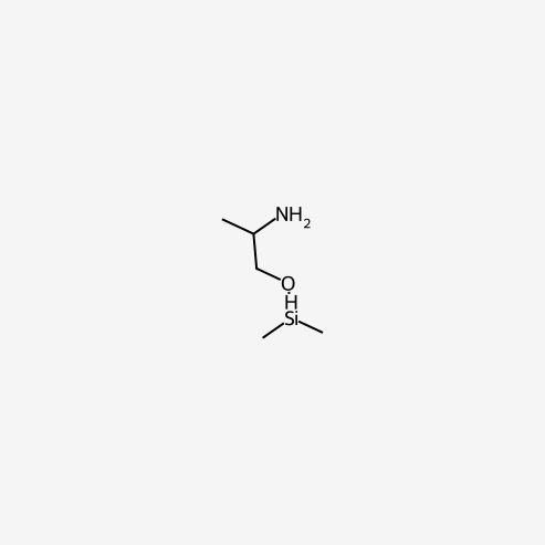 CC(N)CO[SiH](C)C